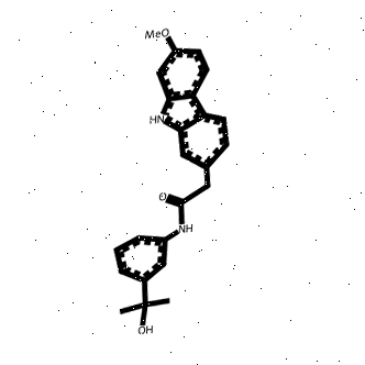 COc1ccc2c(c1)[nH]c1cc(CC(=O)Nc3cccc(C(C)(C)O)c3)ccc12